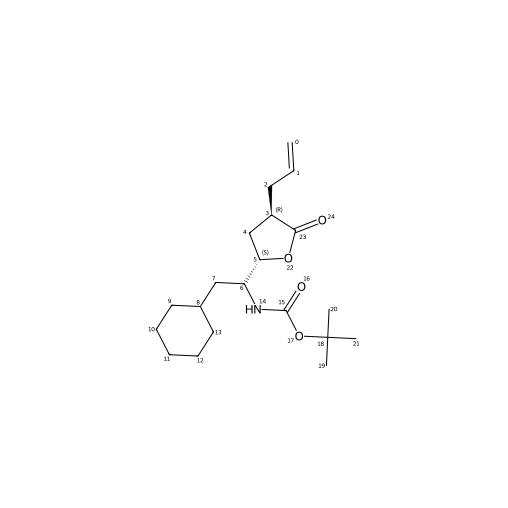 C=CC[C@@H]1C[C@@H](C(CC2CCCCC2)NC(=O)OC(C)(C)C)OC1=O